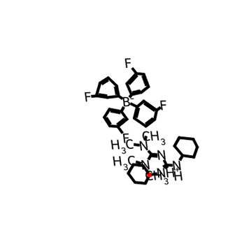 CN(C)C(=N/C(NC1CCCCC1)=[NH+]\C1CCCCC1)N(C)C.Fc1cccc([B-](c2cccc(F)c2)(c2cccc(F)c2)c2cccc(F)c2)c1